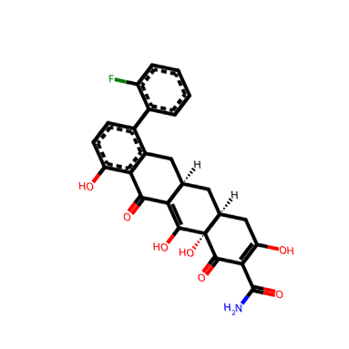 NC(=O)C1=C(O)C[C@@H]2C[C@@H]3Cc4c(-c5ccccc5F)ccc(O)c4C(=O)C3=C(O)[C@]2(O)C1=O